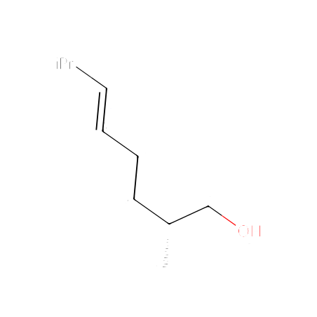 CC(C)/C=C/CC[C@@H](C)CO